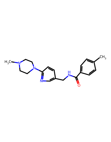 Cc1ccc(C(=O)NCc2ccc(N3CCN(C)CC3)nc2)cc1